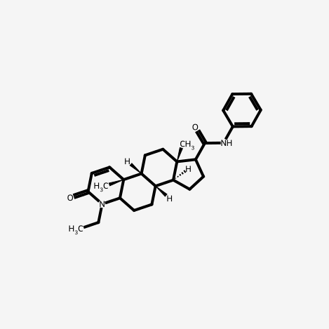 CCN1C(=O)C=C[C@@]2(C)C1CC[C@@H]1[C@H]2CC[C@]2(C)C(C(=O)Nc3ccccc3)CC[C@@H]12